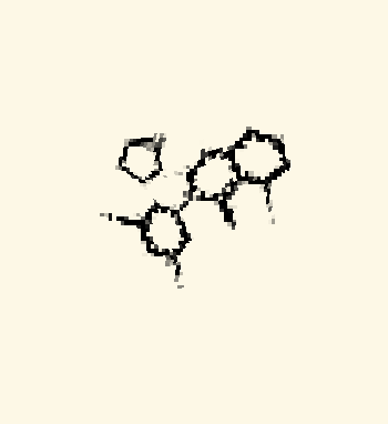 O=c1c2c(F)cccc2nc([C@@H]2CCCN2)n1-c1cc(F)cc(F)c1